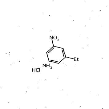 CCc1cccc([N+](=O)[O-])c1.Cl.N